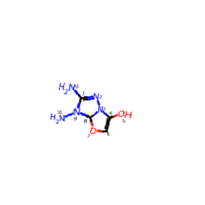 NC1=NN2C(O)=COC2N1N